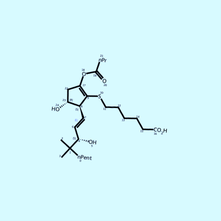 CCCCCC(C)(C)[C@@H](O)/C=C/[C@@H]1C(SCCCCCC(=O)O)=C(OC(=O)CCC)C[C@H]1O